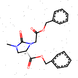 CN1C[C@@H](C(=O)OCc2ccccc2)N(CC(=O)OCc2ccccc2)C1=O